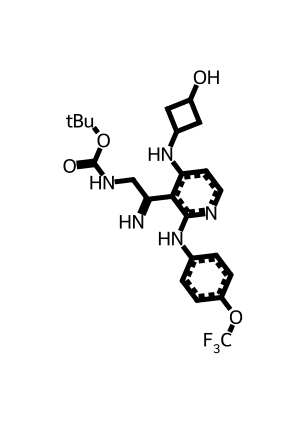 CC(C)(C)OC(=O)NCC(=N)c1c(NC2CC(O)C2)ccnc1Nc1ccc(OC(F)(F)F)cc1